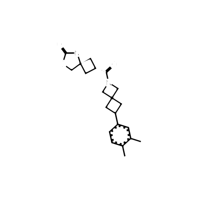 Cc1ccc(C2CC3(C2)CN(C(=O)[C@H]2C[C@]4(COC(=O)N4)C2)C3)cc1C